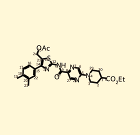 CCOC(=O)C1CCN(c2cnc(C(=O)Nc3nc(-c4ccc(C)c(C)c4)c(COC(C)=O)s3)cn2)CC1